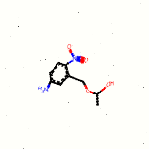 CC(O)OCc1cc(N)ccc1[N+](=O)[O-]